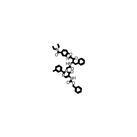 CCN(CC)C(=O)c1ccc2oc(C(=O)C(Cc3ccccc3)NC(=O)Cn3c(-c4cccc(C)c4)ncc(NC(=O)OCc4ccccc4)c3=O)nc2c1